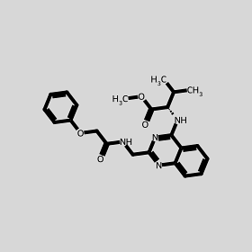 COC(=O)[C@@H](Nc1nc(CNC(=O)COc2ccccc2)nc2ccccc12)C(C)C